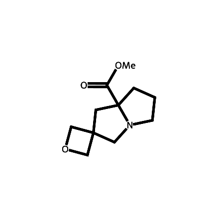 COC(=O)C12CCCN1CC1(COC1)C2